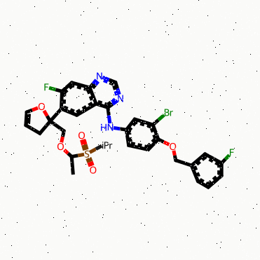 CC(C)S(=O)(=O)C(C)OCC1(c2cc3c(Nc4ccc(OCc5cccc(F)c5)c(Br)c4)ncnc3cc2F)CC=CO1